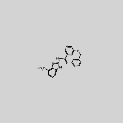 C[C@@H](Oc1cncc(C(=O)Nc2nc3c(C(=O)O)cccc3[nH]2)c1)c1ccccc1